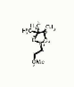 COCCB1OC(C)C(C)(C)O1